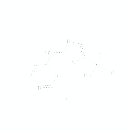 Cc1nccc(Nc2ncc(C(C)(C)C)s2)n1